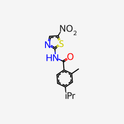 Cc1cc(C(C)C)ccc1C(=O)Nc1ncc([N+](=O)[O-])s1